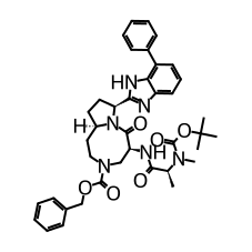 C[C@@H](C(=O)N[C@H]1CN(C(=O)OCc2ccccc2)CC[C@H]2CC[C@@H](c3nc4cccc(-c5ccccc5)c4[nH]3)N2C1=O)N(C)C(=O)OC(C)(C)C